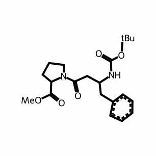 COC(=O)C1CCCN1C(=O)CC(Cc1ccccc1)NC(=O)OC(C)(C)C